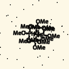 CO[PH](OC)(OC)[Pd]([PH](OC)(OC)OC)([PH](OC)(OC)OC)[PH](OC)(OC)OC